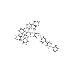 c1ccc(-c2ccc(-c3ccc(-c4ccc(N(c5ccc(C6(c7ccccc7)c7ccccc7-c7ccccc76)cc5)c5cc6ccccc6c6ccccc56)cc4)cc3)cc2)cc1